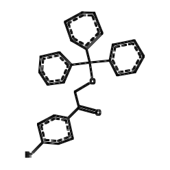 O=C(COC(c1ccccc1)(c1ccccc1)c1ccccc1)c1ccc(Br)cc1